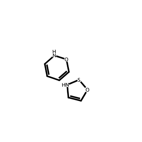 C1=CNOC=C1.C1=COSN1